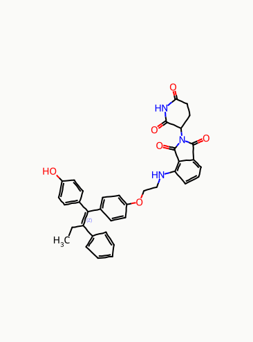 CC/C(=C(\c1ccc(O)cc1)c1ccc(OCCNc2cccc3c2C(=O)N(C2CCC(=O)NC2=O)C3=O)cc1)c1ccccc1